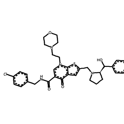 O=C(NCc1ccc(Cl)cc1)c1cn(CCN2CCOCC2)c2sc(CN3CCC[C@@H]3C(O)c3ccccc3)cc2c1=O